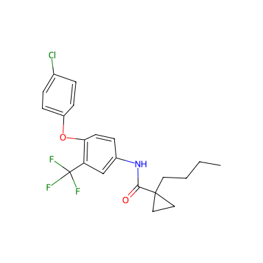 CCCCC1(C(=O)Nc2ccc(Oc3ccc(Cl)cc3)c(C(F)(F)F)c2)CC1